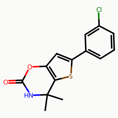 CC1(C)NC(=O)Oc2cc(-c3cccc(Cl)c3)sc21